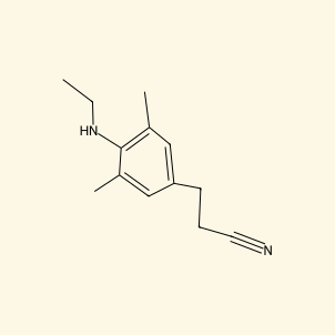 CCNc1c(C)cc(CCC#N)cc1C